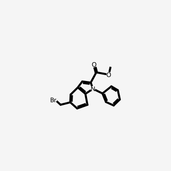 COC(=O)c1cc2cc(CBr)ccc2n1-c1ccccc1